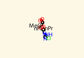 CCCc1cc(CN2CNc3c2ccnc3Cl)cc(CCC)c1OC(C(=O)OC)c1ccc2c(c1)OCO2